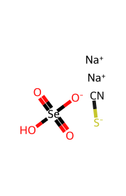 N#C[S-].O=[Se](=O)([O-])O.[Na+].[Na+]